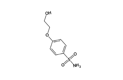 NS(=O)(=O)c1ccc(OCCO)cc1